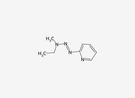 CCN(C)N=Nc1ccccn1